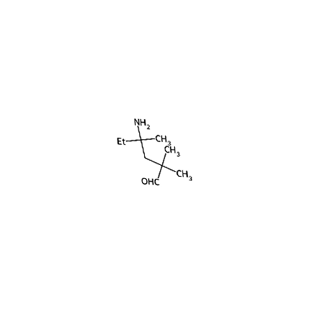 CCC(C)(N)CC(C)(C)C=O